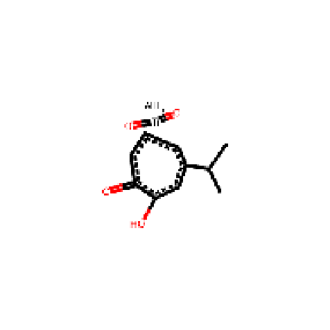 CC(C)c1cccc(=O)c(O)c1.[AlH3].[O]=[Ti]=[O]